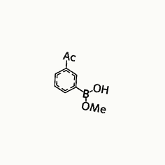 COB(O)c1cccc(C(C)=O)c1